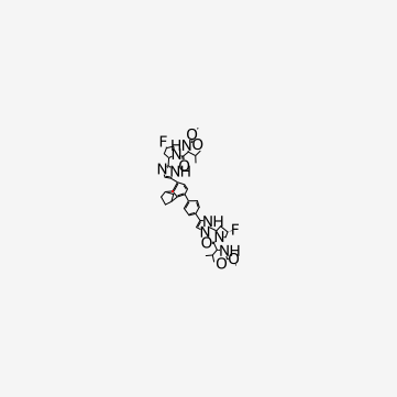 COC(=O)N[C@H](C(=O)N1C[C@@H](F)CC1c1ncc(-c2ccc(-c3ccc(-c4cnc(C5C[C@H](F)CN5C(=O)[C@@H](NC(=O)OC)C(C)C)[nH]4)c4c3C3CCC4C3)cc2)[nH]1)C(C)C